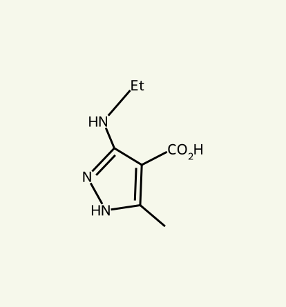 CCNc1n[nH]c(C)c1C(=O)O